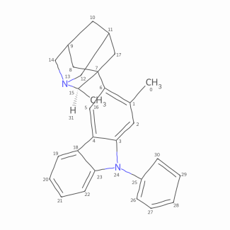 Cc1cc2c(cc1C13CC4CC(CN(C4)[C@@H]1C)C3)c1ccccc1n2-c1ccccc1